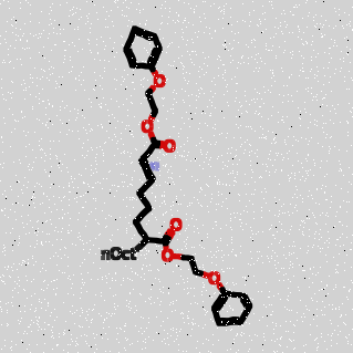 CCCCCCCCC(CCC/C=C/C(=O)OCCOc1ccccc1)C(=O)OCCOc1ccccc1